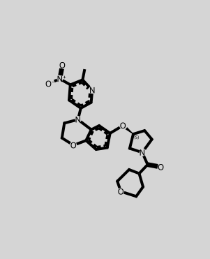 Cc1ncc(N2CCOc3ccc(O[C@H]4CCN(C(=O)C5CCOCC5)C4)cc32)cc1[N+](=O)[O-]